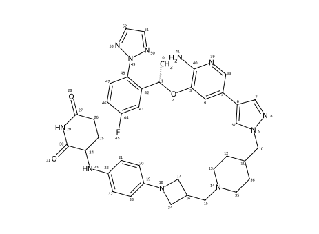 C[C@H](Oc1cc(-c2cnn(CC3CCN(CC4CN(c5ccc(NC6CCC(=O)NC6=O)cc5)C4)CC3)c2)cnc1N)c1cc(F)ccc1-n1nccn1